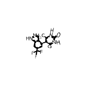 Cc1[nH]c(=O)[nH]c(=O)c1-c1cc(C(F)(F)F)cc2[nH]ncc12